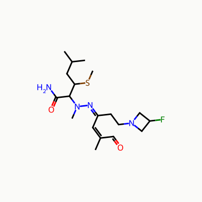 CSC(CC(C)C)C(C(N)=O)N(C)/N=C(\C=C(\C)C=O)CCN1CC(F)C1